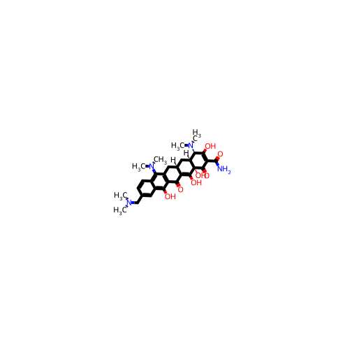 CN(C)Cc1ccc2c(N(C)C)c3c(c(O)c2c1)C(=O)C1=C(O)[C@]2(O)C(=O)C(C(N)=O)=C(O)[C@@H](N(C)C)[C@@H]2C[C@@H]1C3